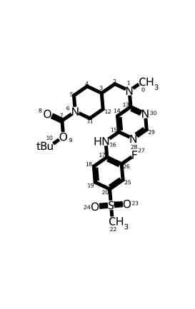 CN(CC1CCN(C(=O)OC(C)(C)C)CC1)c1cc(Nc2ccc(S(C)(=O)=O)cc2F)ncn1